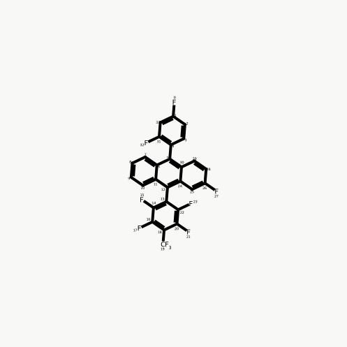 Fc1ccc(-c2c3ccccc3c(-c3c(F)c(F)c(C(F)(F)F)c(F)c3F)c3cc(F)ccc23)c(F)c1